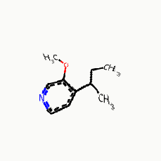 CCC(C)c1ccncc1OC